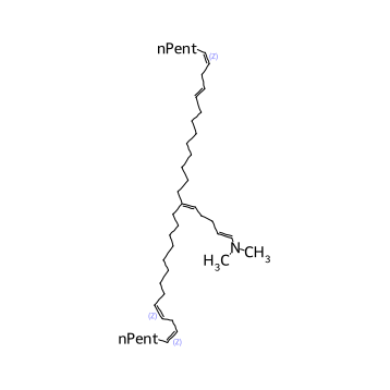 CCCCC/C=C\CC=CCCCCCCCCC(=CCCC=CN(C)C)CCCCCCCC/C=C\C/C=C\CCCCC